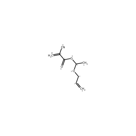 C=CCOC(C)OC(=O)C(=C)C#N